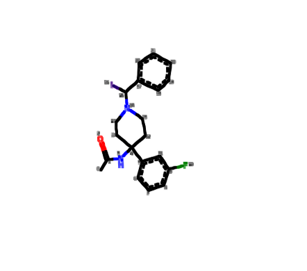 CC(=O)NC1(c2cccc(F)c2)CCN(C(I)c2ccccc2)CC1